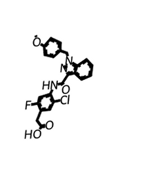 COc1ccc(Cn2nc(C(=O)Nc3cc(F)c(CC(=O)O)cc3Cl)c3ccccc32)cc1